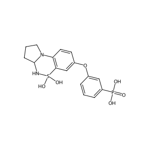 O=P(O)(O)c1cccc(Oc2ccc3c(c2)S(O)(O)NC2CCCN32)c1